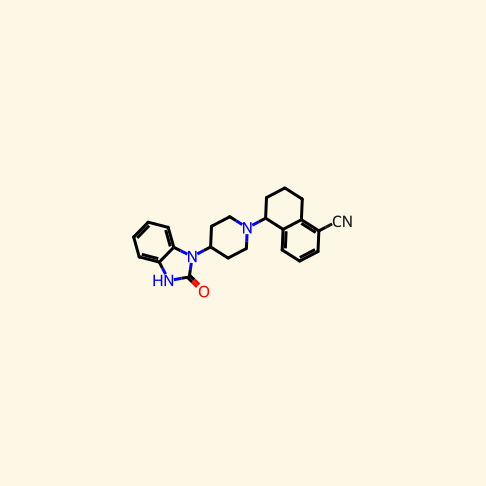 N#Cc1cccc2c1CCCC2N1CCC(n2c(=O)[nH]c3ccccc32)CC1